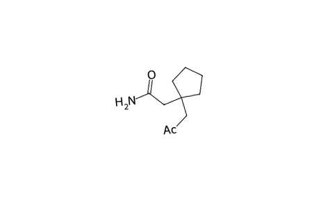 CC(=O)CC1(CC(N)=O)CCCC1